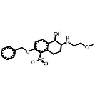 COCCNC1CCc2c(ccc(OCc3ccccc3)c2[N+](=O)[O-])C1O